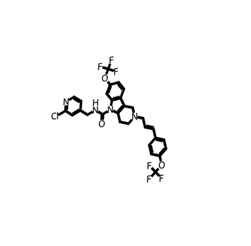 O=C(NCc1ccnc(Cl)c1)n1c2c(c3ccc(OC(F)(F)F)cc31)CN(C/C=C/c1ccc(OC(F)(F)F)cc1)CC2